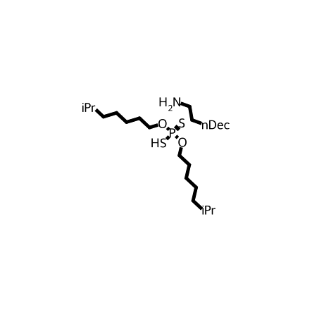 CC(C)CCCCCOP(=S)(S)OCCCCCC(C)C.CCCCCCCCCCCCN